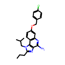 CCCc1nc2c(N)nc3cc(OCc4ccc(Cl)cc4)ccc3c2n1CC(C)C